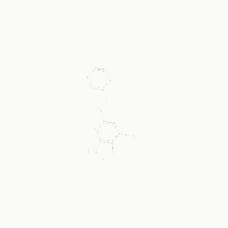 Cc1cc(NCc2ccccc2)nc2c1CCN2